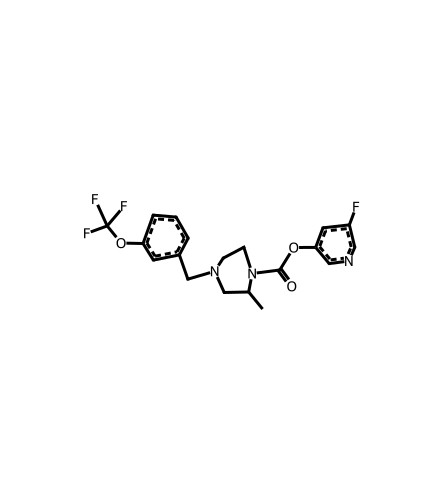 CC1CN(Cc2cccc(OC(F)(F)F)c2)CCN1C(=O)Oc1cncc(F)c1